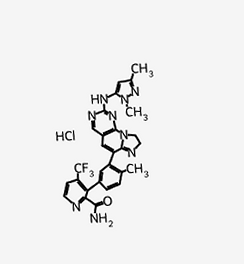 Cc1cc(Nc2ncc3c(n2)N2CCN=C2C(c2cc(-c4c(C(F)(F)F)ccnc4C(N)=O)ccc2C)=C3)n(C)n1.Cl